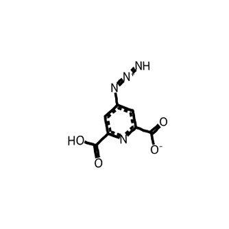 N=[N+]=Nc1cc(C(=O)[O-])nc(C(=O)O)c1